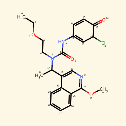 CCOCCN(C(=O)NC1=CC(Cl)C(=O)C=C1)C(C)c1cnc(OC)c2ccccc12